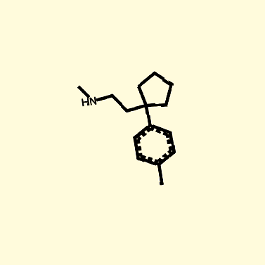 CNCCC1(c2ccc(C)cc2)CCCC1